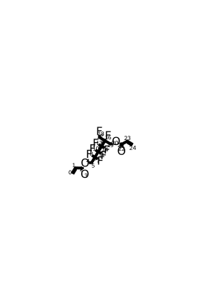 C=CC(=O)OCC(F)(F)C(F)(F)C(F)(F)C(F)(CF)COC(=O)C=C